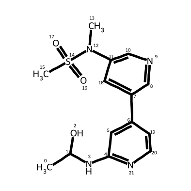 CC(O)Nc1cc(-c2cncc(N(C)S(C)(=O)=O)c2)ccn1